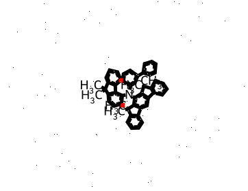 CC1(C)c2ccccc2-c2c(N(c3cccc(-c4ccccc4)c3)c3c4c(cc5c3C(C)(C)c3ccccc3-5)-c3ccccc3C4(C)C)cccc21